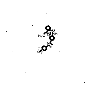 C=CC(=O)c1ccccc1S(=O)(=O)Nc1ccc(-c2csc(-c3ccc(C(F)(F)F)cc3)n2)cc1